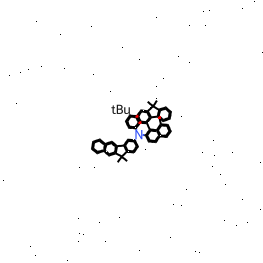 Cc1cccc2ccc(N(c3ccc(C(C)(C)C)cc3)c3ccc4c(c3)-c3cc5ccccc5cc3C4(C)C)c(-c3cccc4c3-c3ccccc3C4(C)C)c12